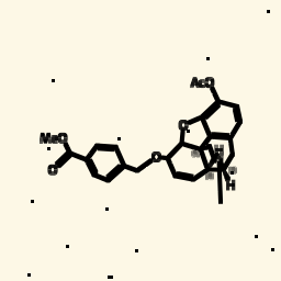 COC(=O)c1ccc(COC2C=C[C@H]3[C@H]4Cc5ccc(OC(C)=O)c6c5[C@@]3(CCN4C)C2O6)cc1